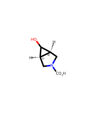 O=C(O)N1C[C@@H]2C(O)[C@@H]2C1